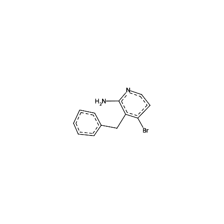 Nc1nccc(Br)c1Cc1ccccc1